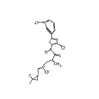 CCN(C(=O)C(C)C[S+]([O-])CC1CC1(F)F)c1sc(-c2ccc[n+]([O-])c2)nc1Cl